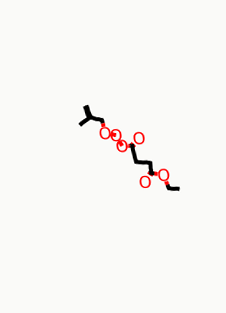 C=C(C)COOOC(=O)CCC(=O)OCC